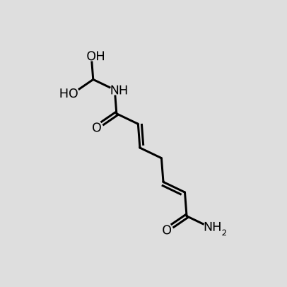 NC(=O)C=CCC=CC(=O)NC(O)O